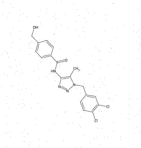 Cc1c(NC(=O)c2ccc(CO)cc2)nnn1Cc1ccc(Cl)c(Cl)c1